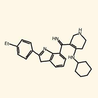 CCc1ccc(C2=Nc3c(cccc3C(=N)C3=C(NC4CCCCC4)CCNC3)C2)cc1